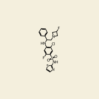 O=S(=O)(Nc1nccs1)c1cc(Cl)c(NC(CN2CC(F)C2)c2ccccc2)cc1F